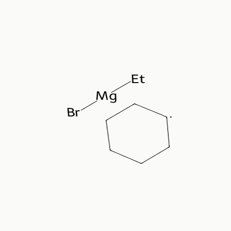 C[CH2][Mg][Br].[CH]1CCCCC1